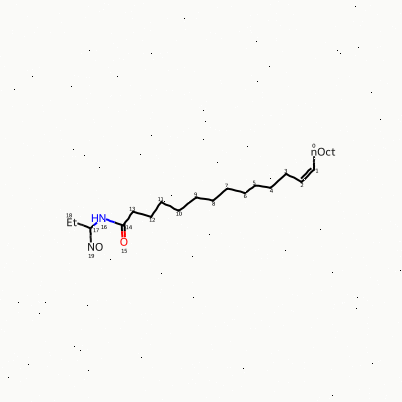 CCCCCCCC/C=C\CCCCCCCCCCCC(=O)NC(CC)N=O